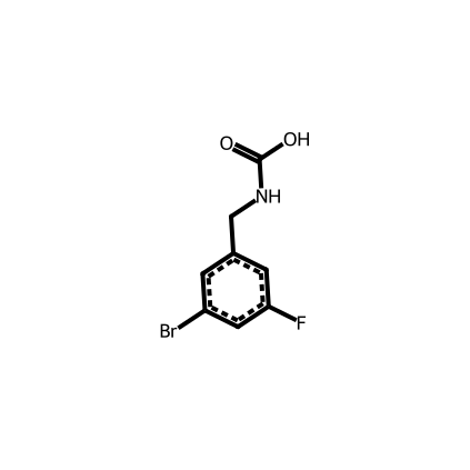 O=C(O)NCc1cc(F)cc(Br)c1